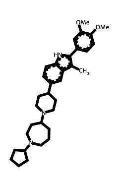 COc1ccc(-c2[nH]c3ccc(C4CCN(C5CCCN(C6CCCC6)CC5)CC4)cc3c2C)cc1OC